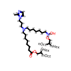 CCCCCCCCC(CCCCCC)COC(=O)CCCCCCCN(CCCCCCCN(O)OCC(CCCCCC)CCCCCCCC)CCCn1ccnc1C